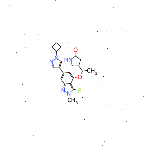 C[C@@H](Oc1cc(-c2cnn(C3CCC3)c2)cc2nn(C)c(F)c12)C1CNC(=O)C1